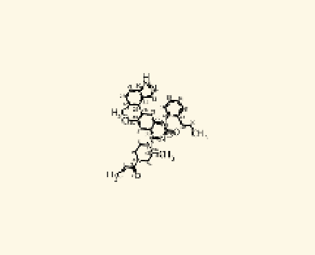 C=CC(=O)N1CCN(c2nc(=O)n(-c3ccccc3CCC)c3cc(-c4c(C)ccc5[nH]ncc45)c(Cl)cc23)[C@@H](C)C1